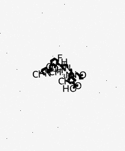 CC1(c2ccc(Cl)cn2)Oc2ccc(F)c(C3[C@H]4CN(Cc5nc6c(Cl)cc(C(=O)O)cc6n5CC5CCO5)C[C@@H]34)c2O1